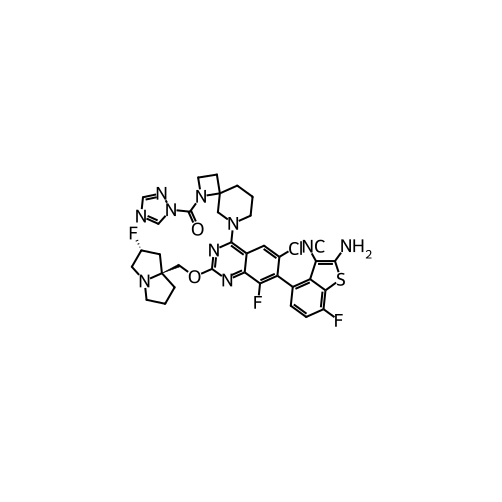 N#Cc1c(N)sc2c(F)ccc(-c3c(Cl)cc4c(N5CCCC6(CCN6C(=O)n6cncn6)C5)nc(OC[C@@]56CCCN5C[C@H](F)C6)nc4c3F)c12